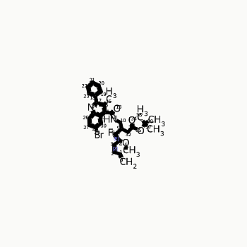 C=C/C=C\C(OC)=C(/F)C(CNC(=O)c1c(C)c(-c2ccccc2)nc2ccc(Br)cc12)CC(=O)OC(C)(C)C